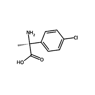 C[C@@](N)(C(=O)O)c1ccc(Cl)cc1